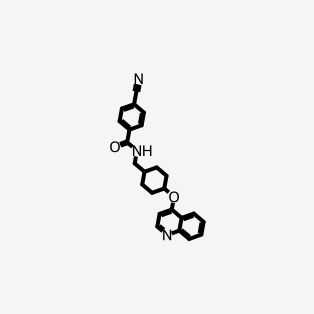 N#Cc1ccc(C(=O)NCC2CCC(Oc3ccnc4ccccc34)CC2)cc1